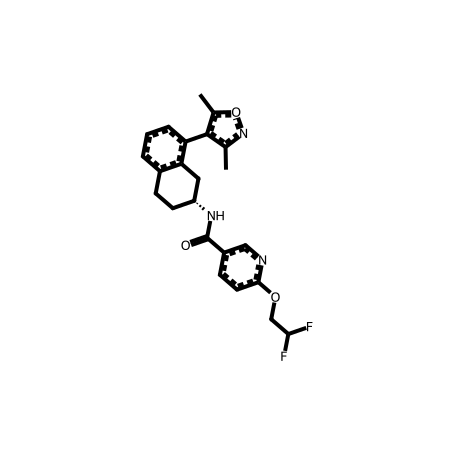 Cc1noc(C)c1-c1cccc2c1C[C@H](NC(=O)c1ccc(OCC(F)F)nc1)CC2